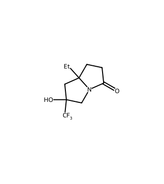 CCC12CCC(=O)N1CC(O)(C(F)(F)F)C2